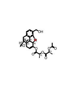 CC(=O)O[C@@H](C)C(=O)O[C@@H](C)C(=O)OC1=CC[C@@]2(O)[C@H]3Cc4ccc(CO)c5c4[C@@]2(CCN3C)[C@H]1O5